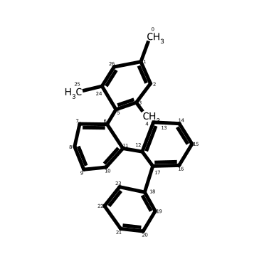 Cc1cc(C)c(-c2ccccc2-c2ccccc2-c2ccccc2)c(C)c1